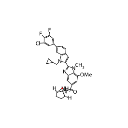 COc1cc(C(=O)N2C[C@H]3CC[C@@H]2[C@@H]3N)cc2nc(-c3cc4ccc(-c5cc(F)c(F)c(Cl)c5)cc4n3CC3CC3)n(C)c12